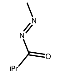 C/N=N/C(=O)C(C)C